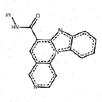 CC(C)NC(=O)c1cc2cnccc2n2c1nc1ccccc12